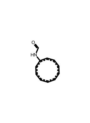 O=CNc1ccccccccc1